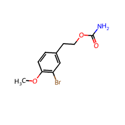 COc1ccc(CCOC(N)=O)cc1Br